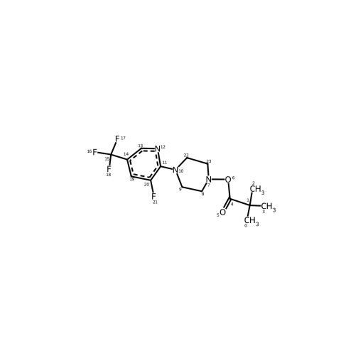 CC(C)(C)C(=O)ON1CCN(c2ncc(C(F)(F)F)cc2F)CC1